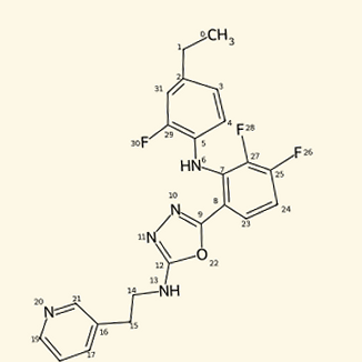 CCc1ccc(Nc2c(-c3nnc(NCCc4cccnc4)o3)ccc(F)c2F)c(F)c1